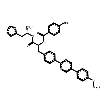 CCCCCCCOc1ccc(-c2cnc(-c3ccc(C[C@H](NC(=O)c4ccc(C(C)(C)C)cc4)C(=O)N[C@@H](Cc4cscn4)C(=O)O)cc3)nc2)cc1